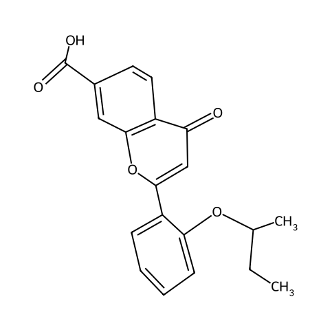 CCC(C)Oc1ccccc1-c1cc(=O)c2ccc(C(=O)O)cc2o1